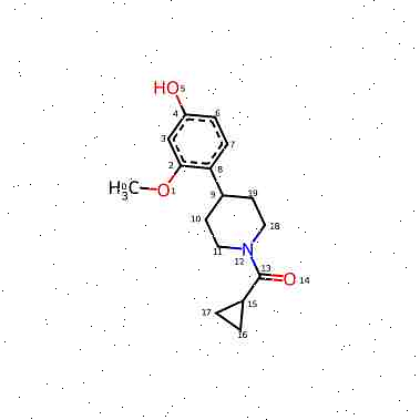 COc1cc(O)ccc1C1CCN(C(=O)C2CC2)CC1